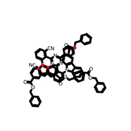 N#Cc1ccc(-c2cccc(-n3c4ccc(C(=O)OCc5ccccc5)cc4c4cc(C(=O)OCc5ccccc5)ccc43)c2-c2nc(-c3ccccc3)nc(-c3c(C#N)cccc3-n3c4ccc(C(=O)OCc5ccccc5)cc4c4cc(C(=O)OCc5ccccc5)ccc43)n2)cc1